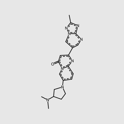 Cc1nc2ncc(-c3cc(=O)n4cc(N5CCC(N(C)C)C5)ccc4n3)cn2n1